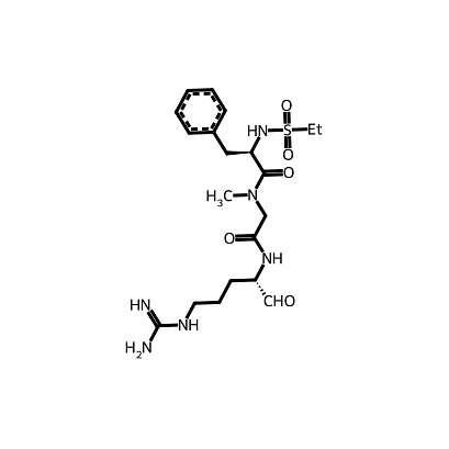 CCS(=O)(=O)N[C@H](Cc1ccccc1)C(=O)N(C)CC(=O)N[C@H](C=O)CCCNC(=N)N